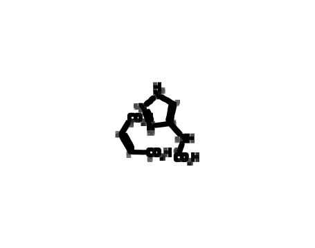 O=C(O)/C=C\C(=O)O.O=C(O)Nc1c[nH]nn1